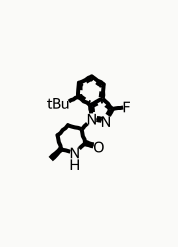 C=C1CCC(n2nc(F)c3cccc(C(C)(C)C)c32)C(=O)N1